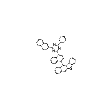 c1ccc(-c2nc(-c3ccc4ccccc4c3)nc(-c3ccc(-c4c5ccccc5cc5sc6ccccc6c45)c4ccccc34)n2)cc1